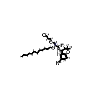 CCCCCCCCCCCCO/C(=C\OCCC=O)CNC1c2cc(C#N)ccc2OC(C)(C)C1O